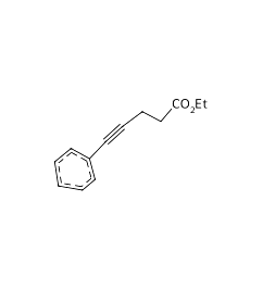 CCOC(=O)CCC#Cc1ccccc1